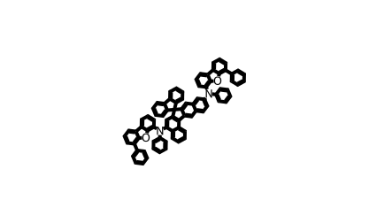 c1ccc(-c2cccc3c2oc2c(N(c4ccccc4)c4ccc5cc6c(cc5c4)C4(c5ccccc5-c5ccccc54)c4cc(N(c5ccccc5)c5cccc7c5oc5c(-c8ccccc8)cccc57)c5ccccc5c4-6)cccc23)cc1